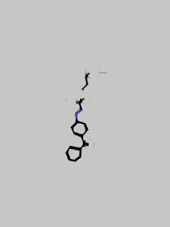 O=C(/C=C/c1ccc(C(=O)c2ccccc2)cc1)OCCCO